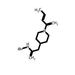 C=C(CC1CCN(C(=C)/C=C/C)CC1)NC(C)CC